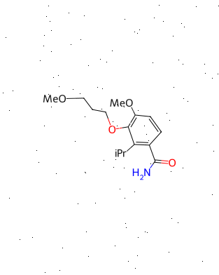 COCCCOc1c(OC)ccc(C(N)=O)c1C(C)C